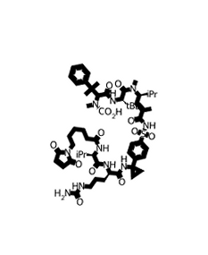 C/C(=C\[C@H](C(C)C)N(C)C(=O)[C@@H](NC(=O)C(N(C)C(=O)O)C(C)(C)c1ccccc1)C(C)(C)C)C(=O)NS(=O)(=O)c1ccc(C2(NC(=O)[C@@H](CCCNC(N)=O)NC(=O)[C@H](NC(=O)CCCCCN3C(=O)C=CC3=O)C(C)C)CC2)cc1